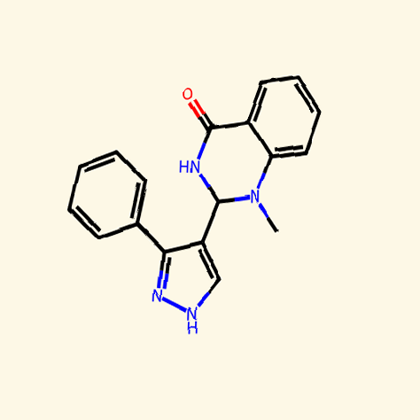 CN1c2ccccc2C(=O)NC1c1c[nH]nc1-c1ccccc1